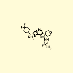 CC(F)(F)CNC(=O)C1(c2cnn3cc(C(N)C4CCC(F)(F)CC4)nc3c2)CCOCC1